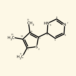 Cc1sc(C2C=CN=CN2)c(C)c1C